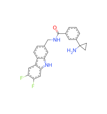 NC1(c2cccc(C(=O)NCc3ccc4c(c3)[nH]c3cc(F)c(F)cc34)c2)CC1